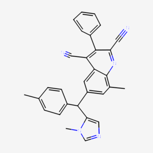 Cc1ccc(C(c2cc(C)c3nc(C#N)c(-c4ccccc4)c(C#N)c3c2)c2cncn2C)cc1